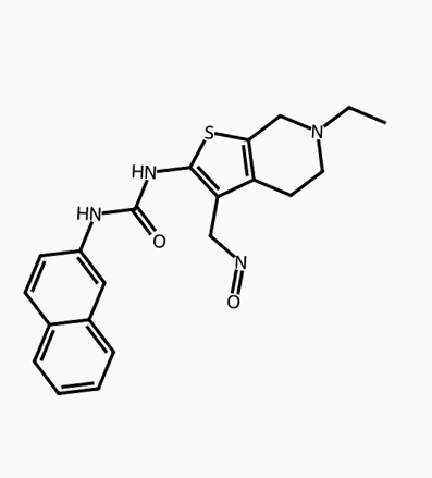 CCN1CCc2c(sc(NC(=O)Nc3ccc4ccccc4c3)c2CN=O)C1